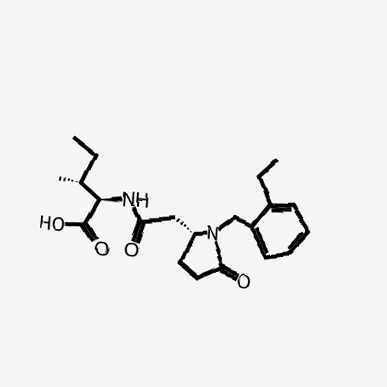 CCc1ccccc1CN1C(=O)CC[C@@H]1CC(=O)N[C@@H](C(=O)O)[C@H](C)CC